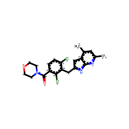 Cc1cc(C(F)(F)F)nc2[nH]c(Cc3c(Cl)ccc(C(=O)N4CCOCC4)c3Cl)cc12